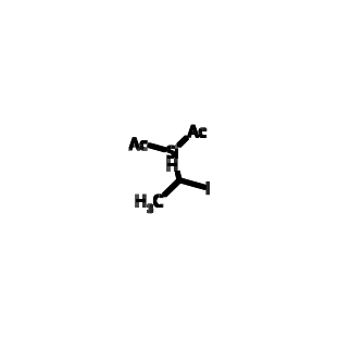 CC(=O)[SiH](C(C)=O)C(C)I